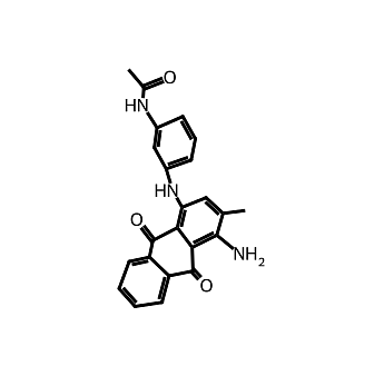 CC(=O)Nc1cccc(Nc2cc(C)c(N)c3c2C(=O)c2ccccc2C3=O)c1